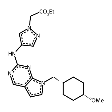 CCOC(=O)Cn1cc(Nc2ncc3ccn(C[C@H]4CC[C@@H](OC)CC4)c3n2)cn1